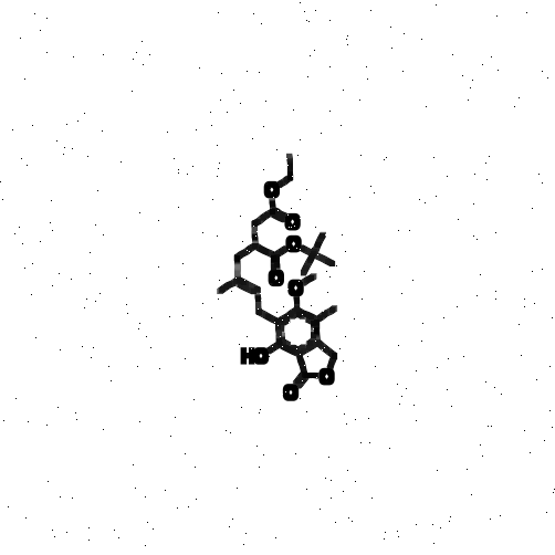 CCOC(=O)CC(C/C(C)=C/Cc1c(O)c2c(c(C)c1OC)COC2=O)C(=O)OC(C)(C)C